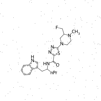 CCCC(Cc1c[nH]c2ccccc12)NC(=O)c1nnc(N2CCN(C)C(CF)C2)s1